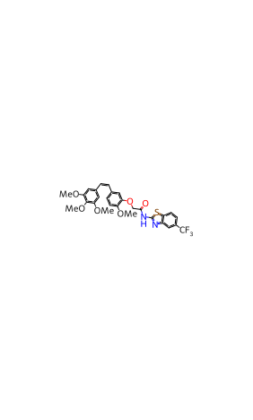 COc1ccc(/C=C\c2cc(OC)c(OC)c(OC)c2)cc1OCC(=O)Nc1nc2cc(C(F)(F)F)ccc2s1